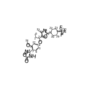 CCC(Oc1ccc(-c2noc(=O)[nH]2)c(OC)c1)c1oc([C@H]2CC[C@@H](C(F)(F)F)CC2)nc1C